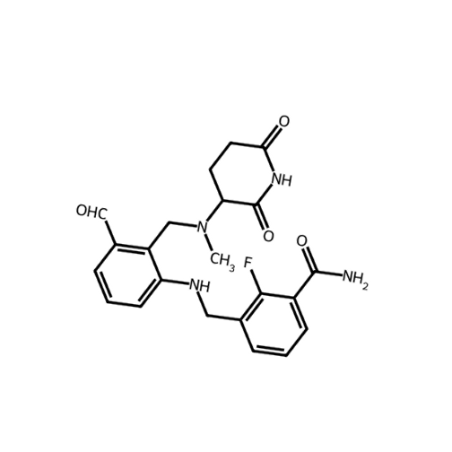 CN(Cc1c(C=O)cccc1NCc1cccc(C(N)=O)c1F)C1CCC(=O)NC1=O